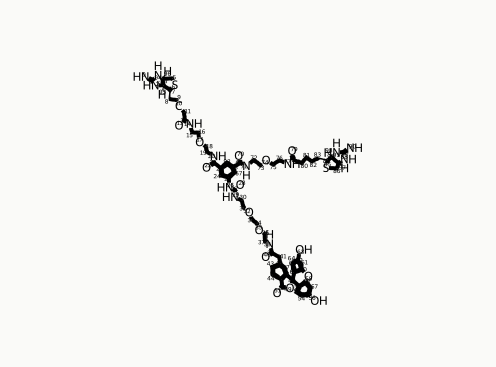 N=C1N[C@H]2[C@H](CS[C@H]2CCCCC(=O)NCCOCCNC(=O)c2cc(NC(=O)NCCOCCOCCNC(=O)Cc3ccc4c(c3)C3(OC4=O)c4ccc(O)cc4Oc4cc(O)ccc43)cc(C(=O)NCCOCCNC(=O)CCCC[C@@H]3SC[C@@H]4NC(=N)N[C@@H]43)c2)N1